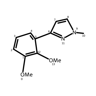 COc1cccc(-c2c[c]n(C)n2)c1OC